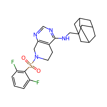 O=S(=O)(c1c(F)cccc1F)N1CCc2c(ncnc2NCC23CC4CC(CC(C4)C2)C3)C1